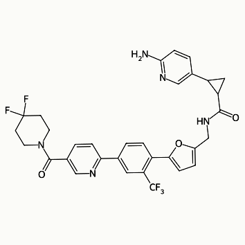 Nc1ccc(C2CC2C(=O)NCc2ccc(-c3ccc(-c4ccc(C(=O)N5CCC(F)(F)CC5)cn4)cc3C(F)(F)F)o2)cn1